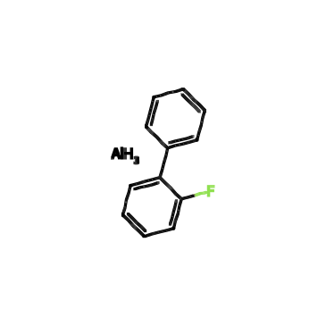 Fc1ccccc1-c1ccccc1.[AlH3]